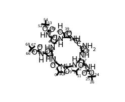 CC(C)C[C@@H]1NC(=O)[C@@H](CC(C)C)NC(=O)[C@H](CCNC(=O)OC(C)(C)C)NC(=O)[C@@H](N)CCNC(=O)[C@H]([C@H](C)O)NC(=O)[C@H](CCNC(=O)OC(C)(C)C)NC(=O)[C@H](CCNC(=O)OC(C)(C)C)NC1=O